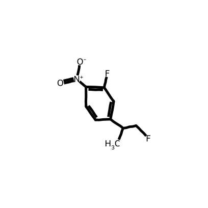 C[C](CF)c1ccc([N+](=O)[O-])c(F)c1